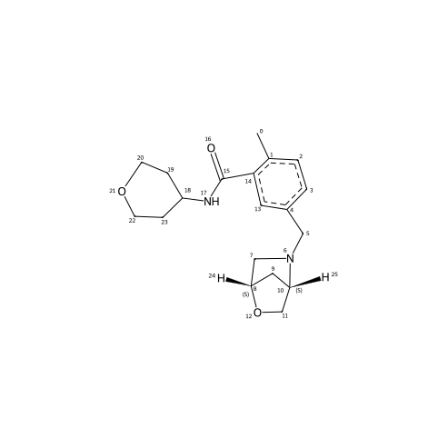 Cc1ccc(CN2C[C@@H]3C[C@H]2CO3)cc1C(=O)NC1CCOCC1